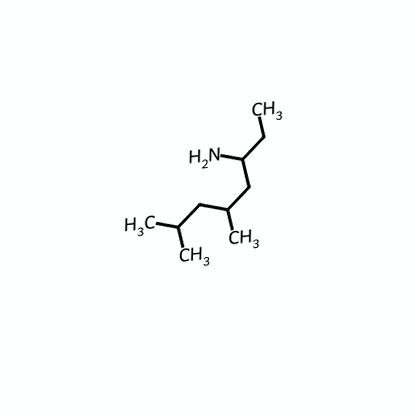 CCC(N)CC(C)CC(C)C